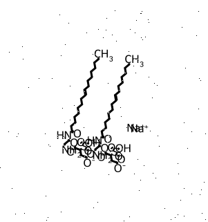 CCCCCCCCC=CCCCCCCCC(=O)NC(CN)OC(=O)C(CC(=O)[O-])S(=O)(=O)O.CCCCCCCCC=CCCCCCCCC(=O)NC(CN)OC(=O)C(CC(=O)[O-])S(=O)(=O)O.[Na+].[Na+]